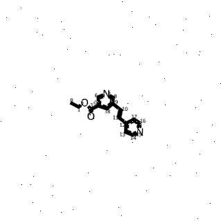 CCOC(=O)c1cncc(C=Cc2ccncc2)c1